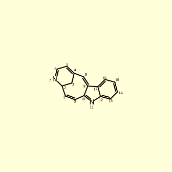 C1=CC2CC(=CC=N2)C=C2C1=Nc1ccccc12